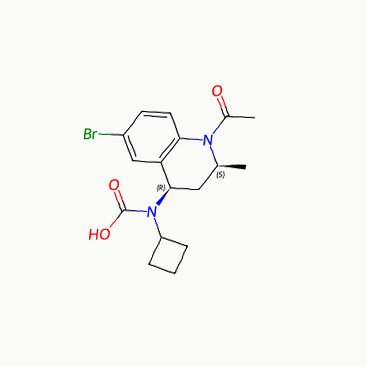 CC(=O)N1c2ccc(Br)cc2[C@H](N(C(=O)O)C2CCC2)C[C@@H]1C